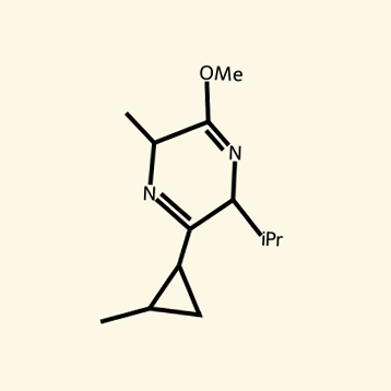 COC1=NC(C(C)C)C(C2CC2C)=NC1C